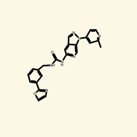 Cc1cc(-n2ncc3cc(NC(=O)NCc4cccc(-c5ncco5)c4)ncc32)ccn1